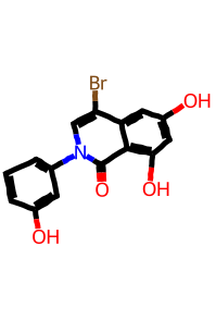 O=c1c2c(O)cc(O)cc2c(Br)cn1-c1cccc(O)c1